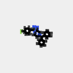 Fc1ccc(-c2nnc3n2CCN(C(c2ccccc2)c2ccccc2)C3)cc1